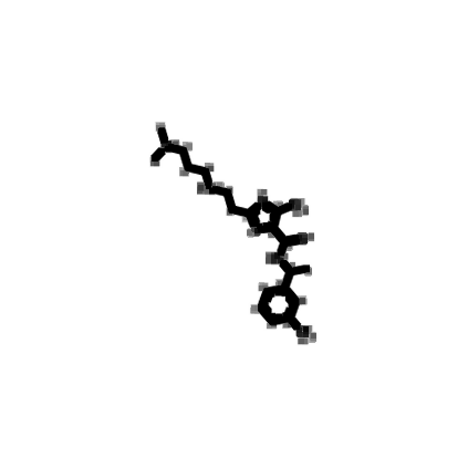 CC(NC(=O)c1sc(CCNCCCN(C)C)nc1C(F)(F)F)c1cccc(C(F)(F)F)c1